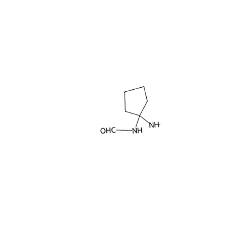 [NH]C1(NC=O)CCCC1